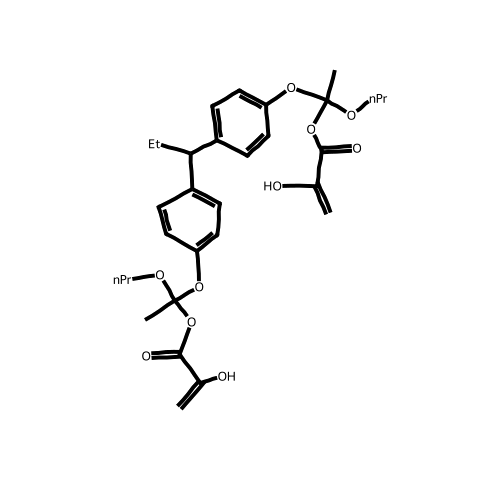 C=C(O)C(=O)OC(C)(OCCC)Oc1ccc(C(CC)c2ccc(OC(C)(OCCC)OC(=O)C(=C)O)cc2)cc1